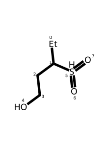 CCC(CCO)[SH](=O)=O